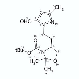 Cc1cc(C=O)n(CC[C@H]2COC(C)(C)N2C(=O)OC(C)(C)C)n1